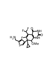 COC1c2[nH]c(=O)[nH]c(=O)c2C(C(F)F)=C(F)C1(c1csc(CN)c1)C1CC1